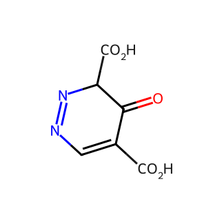 O=C(O)C1=CN=NC(C(=O)O)C1=O